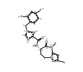 Cc1cc2n(n1)CC[C@H](NC(=O)c1ncn(Cc3ccc(F)cc3F)n1)C(=O)N2C